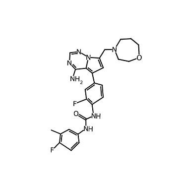 Cc1cc(NC(=O)Nc2ccc(-c3cc(CN4CCCOCC4)n4ncnc(N)c34)cc2F)ccc1F